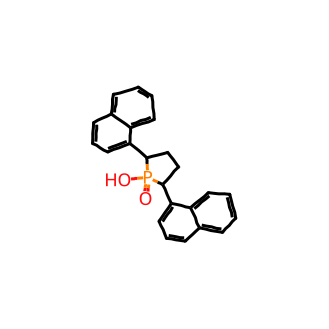 O=P1(O)C(c2cccc3ccccc23)CCC1c1cccc2ccccc12